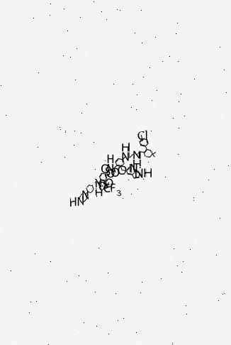 CC1(C)CCC(CNCCNc2ccc(C(=O)NS(=O)(=O)c3ccc(NC[C@H]4CC[C@H](N5CCNCC5)CC4)c(S(=O)(=O)C(F)(F)F)c3)c(Oc3cnc4[nH]ccc4c3)c2)=C(c2ccc(Cl)cc2)C1